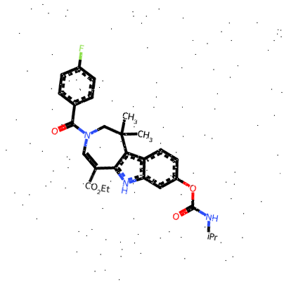 CCOC(=O)C1=CN(C(=O)c2ccc(F)cc2)CC(C)(C)c2c1[nH]c1cc(OC(=O)NC(C)C)ccc21